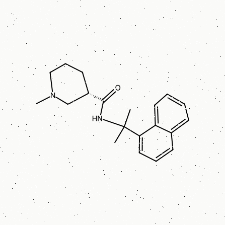 CN1CCC[C@H](C(=O)NC(C)(C)c2cccc3ccccc23)C1